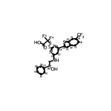 O=C(O)C(F)(F)F.O[C@@H](CNc1cc(-c2cc3ccc(C(F)(F)F)cc3s2)ncn1)c1ccccc1